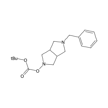 CC(C)(C)OC(=O)ON1CC2CN(Cc3ccccc3)CC2C1